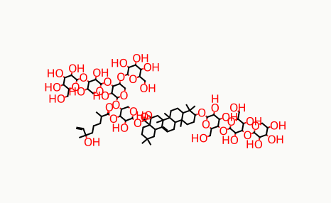 C=CC(C)(O)CCCC(C)C(=O)OC1C(OC2OCC(OC3OC(CO)C(O)C(O)C3O)C(OC3OCC(O)C(OC4OC(CO)C(O)C(O)C4O)C3O)C2O)COC(OC(=O)C23CCC(C)(C)CC2C2=CCC4C5(C)CCC(OC6OC(CO)C(OC7OC(CO)C(O)C(OC8OCC(O)C(O)C8O)C7O)C(O)C6O)C(C)(C)C5CCC4(C)C2(C)CC3O)C1O